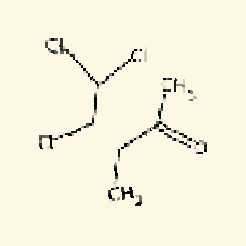 CCC(C)=O.ClCC(Cl)Cl